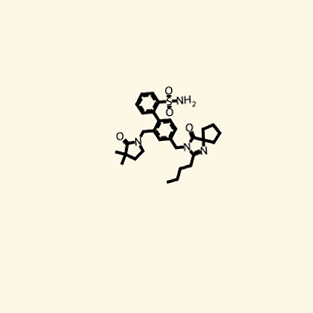 CCCCC1=NC2(CCCC2)C(=O)N1Cc1ccc(-c2ccccc2S(N)(=O)=O)c(CN2CCC(C)(C)C2=O)c1